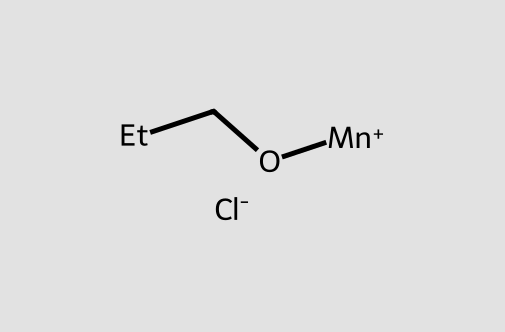 CCC[O][Mn+].[Cl-]